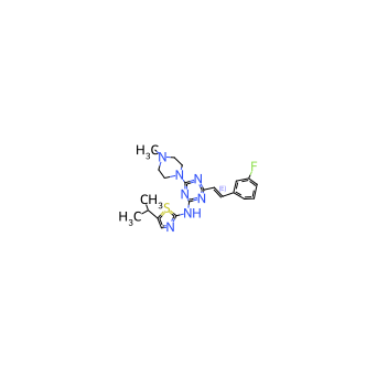 CC(C)c1cnc(Nc2nc(/C=C/c3cccc(F)c3)nc(N3CCN(C)CC3)n2)s1